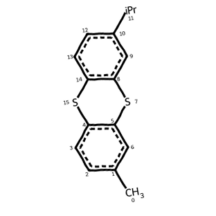 Cc1ccc2c(c1)Sc1cc(C(C)C)ccc1S2